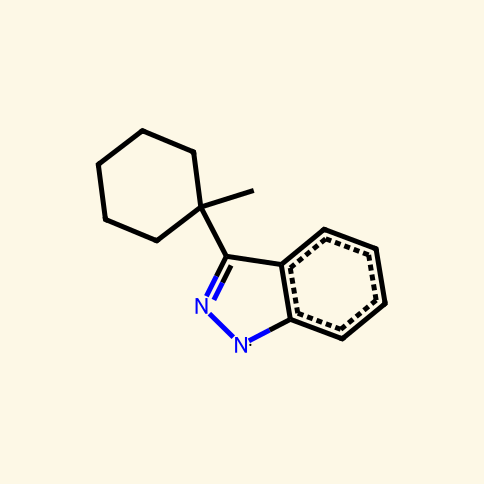 CC1(C2=N[N]c3ccccc32)CCCCC1